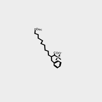 CCCCCCCCCCCCCCCCCCCC(Cc1ccccc1)C(C(=O)[O-])[N+](C)(C)C